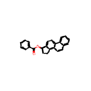 O=C(OC1=CCc2c1ccc1c2ccc2ccccc21)c1ccccc1